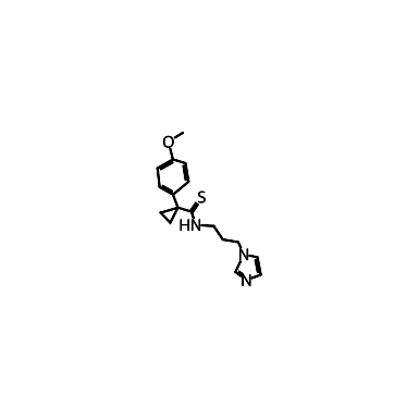 COc1ccc(C2(C(=S)NCCCn3ccnc3)CC2)cc1